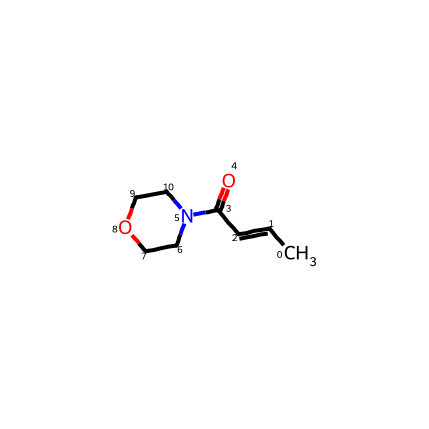 CC=CC(=O)N1CCOCC1